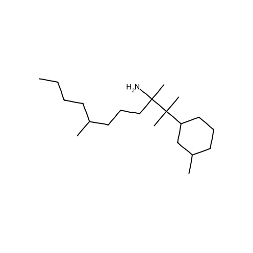 CCCCC(C)CCCC(C)(N)C(C)(C)C1CCCC(C)C1